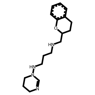 C1=NCCCN1NCCCNCC1CCc2ccccc2O1